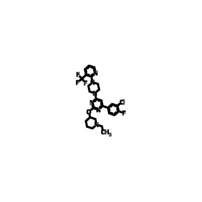 CCN1CCCC(Oc2nc(-c3ccc(F)c(Cl)c3)cc(N3CCN(c4ncccc4C(F)(F)F)CC3)n2)C1